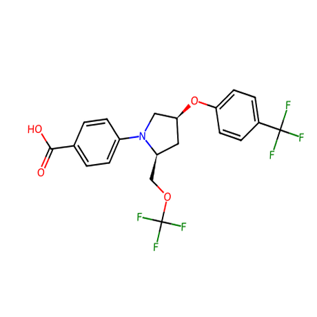 O=C(O)c1ccc(N2C[C@@H](Oc3ccc(C(F)(F)F)cc3)C[C@H]2COC(F)(F)F)cc1